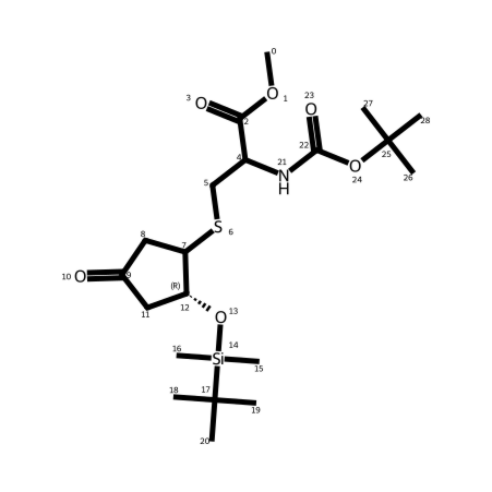 COC(=O)C(CSC1CC(=O)C[C@H]1O[Si](C)(C)C(C)(C)C)NC(=O)OC(C)(C)C